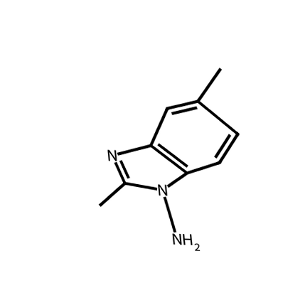 Cc1ccc2c(c1)nc(C)n2N